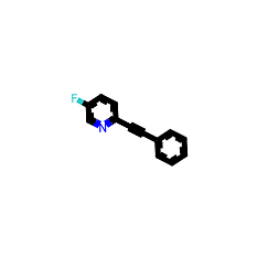 Fc1ccc(C#Cc2ccccc2)nc1